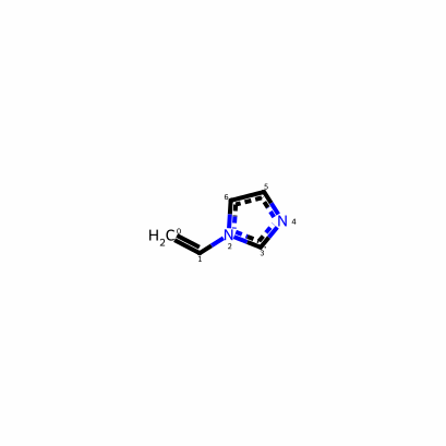 C=Cn1[c]ncc1